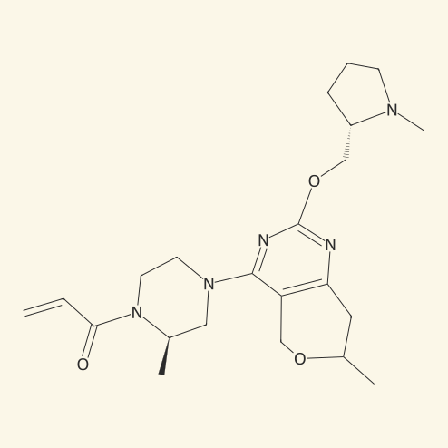 C=CC(=O)N1CCN(c2nc(OC[C@@H]3CCCN3C)nc3c2COC(C)C3)C[C@H]1C